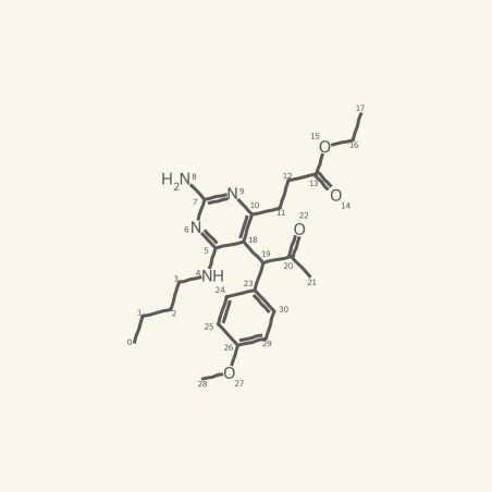 CCCCNc1nc(N)nc(CCC(=O)OCC)c1C(C(C)=O)c1ccc(OC)cc1